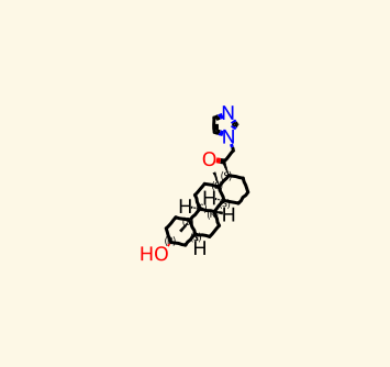 C[C@]12CC[C@@H](O)C[C@@H]1CC[C@@H]1[C@@H]2CC[C@]2(C)[C@@H](C(=O)Cn3ccnc3)CCC[C@@H]12